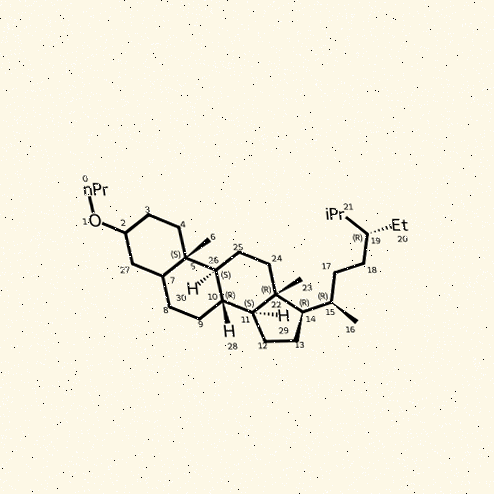 CCCOC1CC[C@@]2(C)C(CC[C@H]3[C@@H]4CC[C@H]([C@H](C)CC[C@@H](CC)C(C)C)[C@@]4(C)CC[C@@H]32)C1